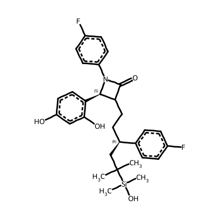 CC(C)(C[C@@H](CCC1C(=O)N(c2ccc(F)cc2)[C@@H]1c1ccc(O)cc1O)c1ccc(F)cc1)[Si](C)(C)O